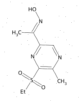 CCS(=O)(=O)c1nc(/C(C)=N/O)cnc1C